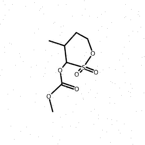 COC(=O)OC1C(C)CCOS1(=O)=O